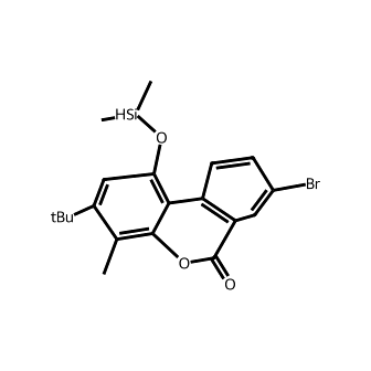 Cc1c(C(C)(C)C)cc(O[SiH](C)C)c2c1oc(=O)c1cc(Br)ccc12